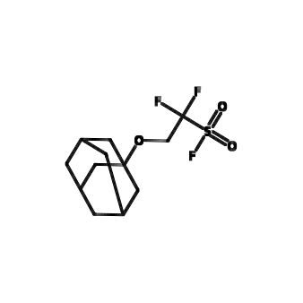 O=S(=O)(F)C(F)(F)COC12CC3CC(CC(C3)C1)C2